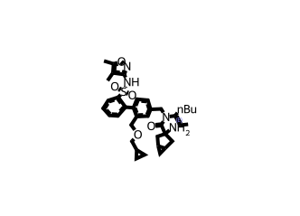 C/C=C(\CCCC)N(Cc1ccc(-c2ccccc2S(=O)(=O)Nc2noc(C)c2C)c(COCC2CC2)c1)C(=O)C1(N)CC2CC2C1